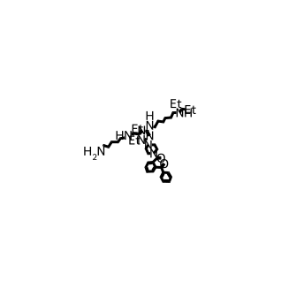 CCC(CC)NCCCCCCNc1nc(N2CCN(C(=O)c3ccccc3C(=O)c3ccccc3)CC2)nc(C(CC)(CC)NCCCCCCN)n1